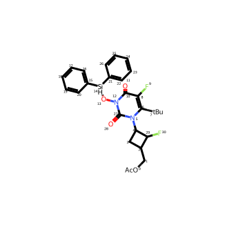 CC(=O)OCC1CC(n2c(C(C)(C)C)c(F)c(=O)n(O[SiH](c3ccccc3)c3ccccc3)c2=O)C1F